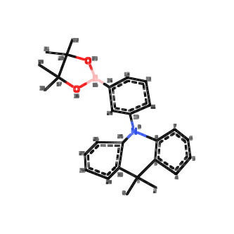 CC1(C)c2ccccc2N(c2cccc(B3OC(C)(C)C(C)(C)O3)c2)c2ccccc21